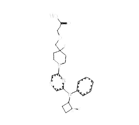 O=C(O)COCC1(F)CCN(c2cncc(N(c3ccccc3)C3CC[C@@H]3F)n2)CC1